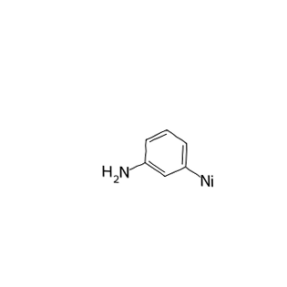 Nc1ccc[c]([Ni])c1